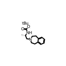 C[C@@H](CN1CCc2ccccc2CC1)NC(=O)OC(C)(C)C